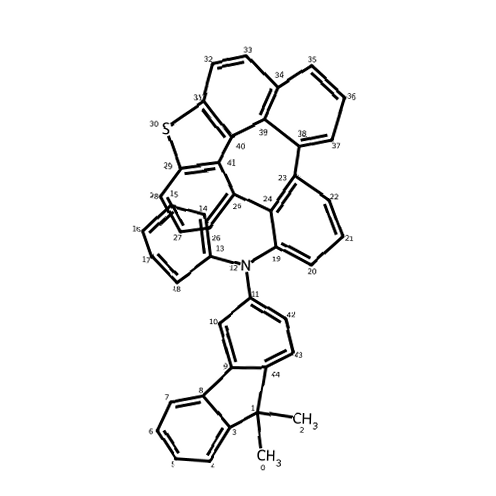 CC1(C)c2ccccc2-c2cc(N(c3ccccc3)c3cccc4c3-c3cccc5sc6ccc7cccc-4c7c6c35)ccc21